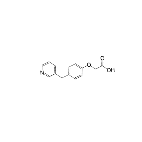 O=C(O)COc1ccc(Cc2cccnc2)cc1